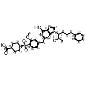 COc1cc(Cc2nc(O)c3ncn(C(CCCc4ccccc4)C(C)O)c3n2)ccc1S(=O)(=O)N1CCC(C(=O)O)CC1